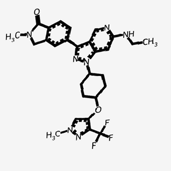 CCNc1cc2c(cn1)c(-c1ccc3c(c1)CN(C)C3=O)nn2C1CCC(Oc2cn(C)nc2C(F)(F)F)CC1